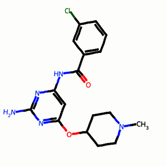 CN1CCC(Oc2cc(NC(=O)c3cccc(Cl)c3)nc(N)n2)CC1